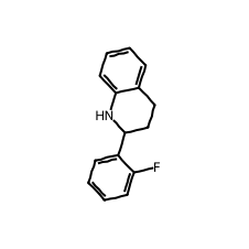 Fc1ccccc1C1CCc2ccccc2N1